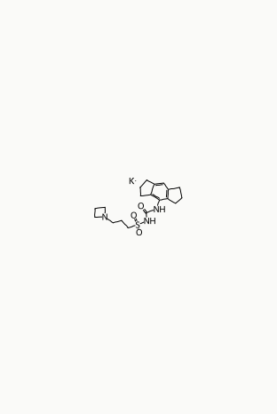 O=C(Nc1c2c(cc3c1CCC3)CCC2)NS(=O)(=O)CCCN1CCC1.[K]